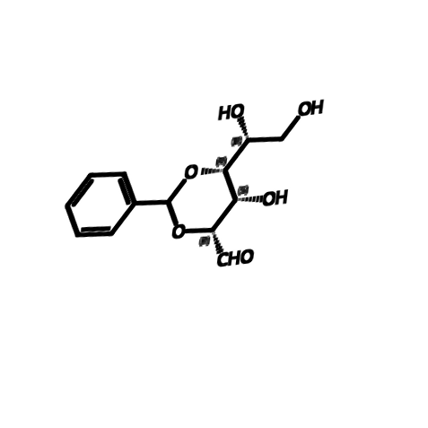 O=C[C@@H]1OC(c2ccccc2)O[C@H]([C@H](O)CO)[C@@H]1O